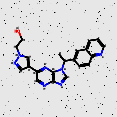 CC(c1ccc2ncccc2c1)n1cnc2ncc(-c3cnn(CCO)c3)nc21